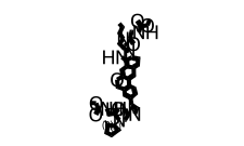 CCCN(Cc1nc2ccc3cc4c(cc3c2[nH]1)OCc1cc(-c2cnc(CN(C(=O)CNC(=O)OC)[C@H]3CCC[C@H]3C)[nH]2)ccc1-4)C(=O)CNC(=O)OC